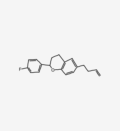 C=CCCc1ccc2c(c1)CCC(c1ccc(F)cc1)O2